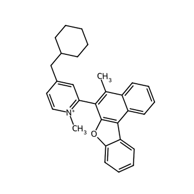 Cc1c(-c2cc(CC3CCCCC3)cc[n+]2C)c2oc3ccccc3c2c2ccccc12